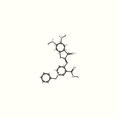 COC(=O)c1c[n+](Cc2ccccc2)ccc1/C=C1\Cc2cc(OC)c(OC)cc2C1=O